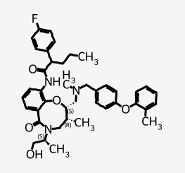 CCCC(C(=O)Nc1cccc2c1O[C@H](CN(C)Cc1ccc(Oc3ccccc3C)cc1)[C@H](C)CN([C@@H](C)CO)C2=O)c1ccc(F)cc1